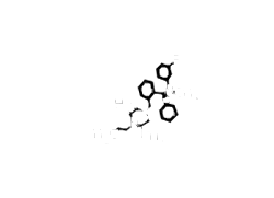 C=CCN1C[C@H](C)N([C@@H](c2ccccc2)c2ccccc2C(=O)N(C)c2cccc(F)c2)C[C@H]1C